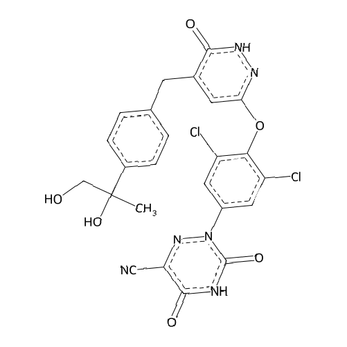 CC(O)(CO)c1ccc(Cc2cc(Oc3c(Cl)cc(-n4nc(C#N)c(=O)[nH]c4=O)cc3Cl)n[nH]c2=O)cc1